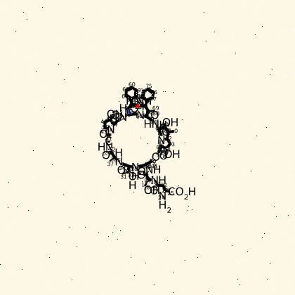 CC1C2C[C@@H](O)[C@H]3C(=O)O[C@H](C)[C@H](NC(=O)[C@H](CO)NC(=O)C[C@H](N)C(=O)O)C(=O)N[C@@H]([C@H](C)O)C(=O)N[C@@H](C)C(=O)NCC(=O)N4CC[C@H](O)[C@H]4C(=O)N/C(=C/c4c[nH]c5ccccc45)C(=O)N[C@@H]([C@H](C)c4c[nH]c5ccccc45)C(=O)N[C@H](C(=O)N23)[C@H]1O